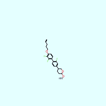 C=CCCCOc1ccc(-c2ccc(C3CCC(OCCC)OC3)cc2F)c(F)c1F